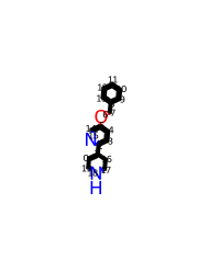 C1=C(c2ccc(OCc3ccccc3)cn2)CCNC1